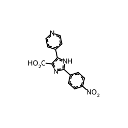 O=C(O)c1nc(-c2ccc([N+](=O)[O-])cc2)[nH]c1-c1ccncc1